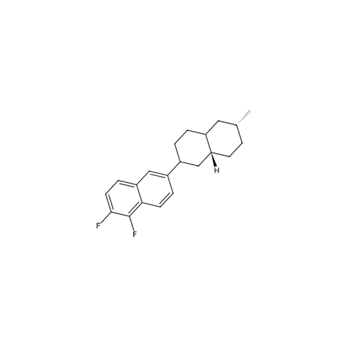 C[C@@H]1CC[C@@H]2CC(c3ccc4c(F)c(F)ccc4c3)CCC2C1